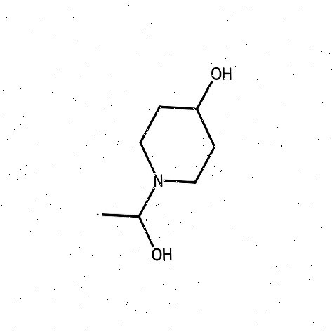 [CH2]C(O)N1CCC(O)CC1